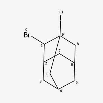 BrC1C2CC3CC(C2)CC1(I)C3